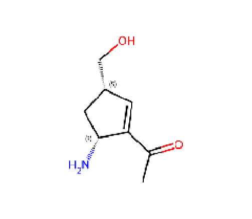 CC(=O)C1=C[C@@H](CO)C[C@H]1N